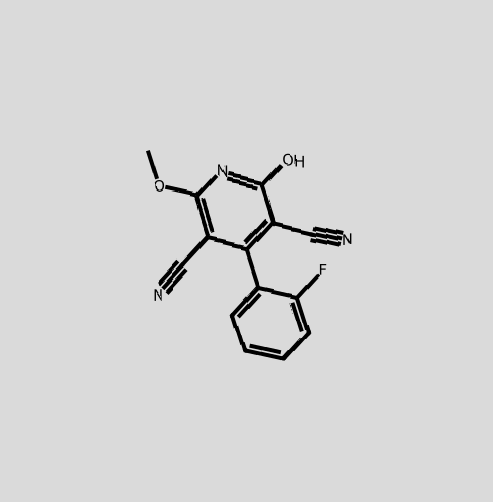 COc1nc(O)c(C#N)c(-c2ccccc2F)c1C#N